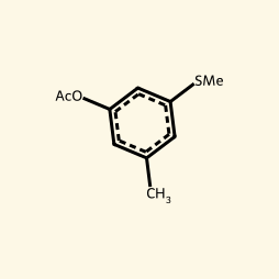 CSc1cc(C)cc(OC(C)=O)c1